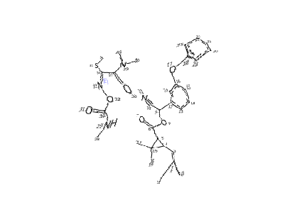 CC(C)=CC1C(C(=O)OC(C#N)c2cccc(Oc3ccccc3)c2)C1(C)C.CNC(=O)O/N=C(/SC)C(=O)N(C)C